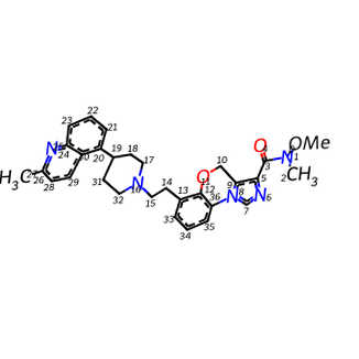 CON(C)C(=O)c1ncn2c1COc1c(CCN3CCC(c4cccc5nc(C)ccc45)CC3)cccc1-2